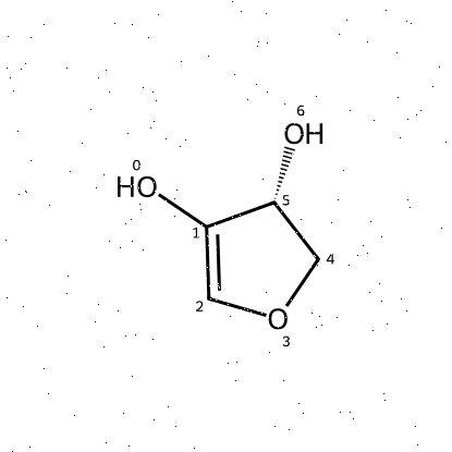 OC1=COC[C@H]1O